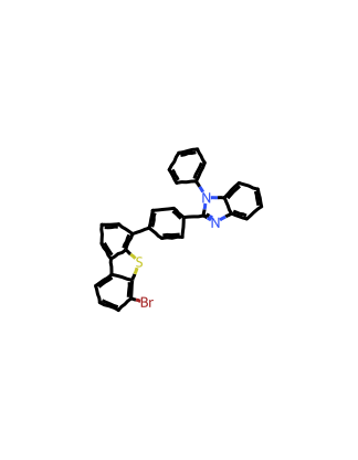 Brc1cccc2c1sc1c(-c3ccc(-c4nc5ccccc5n4-c4ccccc4)cc3)cccc12